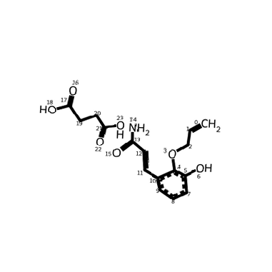 C=CCOc1c(O)cccc1C=CC(N)=O.O=C(O)CCC(=O)O